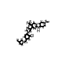 CSN1CCC(Nc2ncc(C(F)(F)F)c(-c3cn(-c4ccc(CN5CCC(C)C5)cc4Cl)cn3)n2)CC1